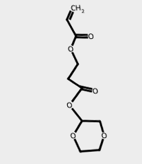 C=CC(=O)OCCC(=O)OC1COCCO1